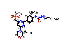 COCCNC(=O)Nc1ccc(-c2nc(CS(C)(=O)=O)cc(N3CCOC[C@@H]3C)n2)cc1OC